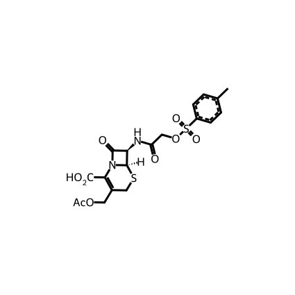 CC(=O)OCC1=C(C(=O)O)N2C(=O)[C@@H](NC(=O)COS(=O)(=O)c3ccc(C)cc3)[C@H]2SC1